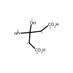 CCCC(O)(CC(=O)O)CC(=O)O